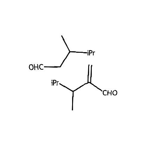 C=C(C=O)C(C)C(C)C.CC(C)C(C)CC=O